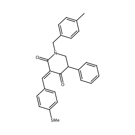 CSc1ccc(C=C2C(=O)C(c3ccccc3)CN(Cc3ccc(C)cc3)C2=O)cc1